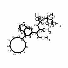 CCC(c1cc(C2CCCCCCCCCC2)c2ncsc2n1)C(C)CC(C)(C)NC(C)(C)CC